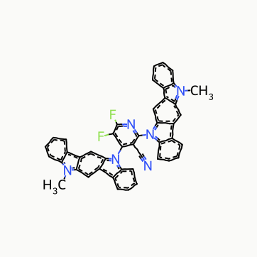 Cn1c2ccccc2c2cc3c(cc21)c1ccccc1n3-c1nc(F)c(F)c(-n2c3ccccc3c3cc4c(cc32)c2ccccc2n4C)c1C#N